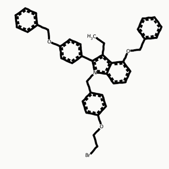 CCc1c(-c2ccc(OCc3ccccc3)cc2)n(Cc2ccc(OCCBr)cc2)c2cccc(OCc3ccccc3)c12